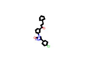 O=C(/C=C/c1ccccc1)c1cccc(-n2cc(-c3ccc(Cl)cc3)[nH]c2=O)c1